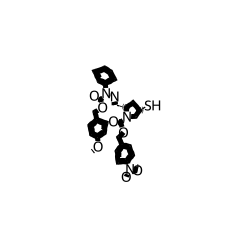 COc1ccc(COC(=O)N(N=C[C@@H]2C[C@H](S)CN2C(=O)OCc2ccc([N+](=O)[O-])cc2)c2ccccc2)cc1